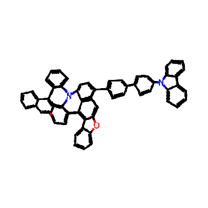 c1ccc(N(c2ccc(-c3ccc(-c4ccc(-n5c6ccccc6c6ccccc65)cc4)cc3)cc2)c2ccccc2-c2cccc3oc4ccccc4c23)c(-c2cccc3ccccc23)c1